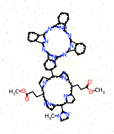 COC(=O)CCc1c2nc(c(-c3nccn3C)c3ccc([nH]3)c(CCC(=O)OC)c3nc(c(-c4ccc5c6nc7nc(nc8[nH]c(nc9nc(nc([nH]6)c5c4)-c4ccccc4-9)c4ccccc84)-c4ccccc4-7)c4ccc1[nH]4)C=C3)C=C2